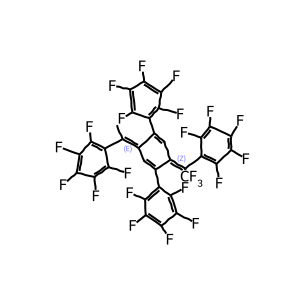 C/C(c1c(F)c(F)c(F)c(F)c1F)=c1/cc(-c2c(F)c(F)c(F)c(F)c2F)/c(=C(/c2c(F)c(F)c(F)c(F)c2F)C(F)(F)F)cc1-c1c(F)c(F)c(F)c(F)c1F